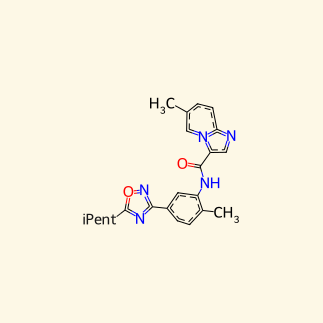 CCCC(C)c1nc(-c2ccc(C)c(NC(=O)c3cnc4ccc(C)cn34)c2)no1